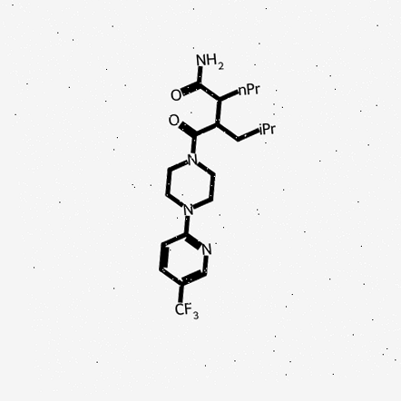 CCCC(C(N)=O)C(CC(C)C)C(=O)N1CCN(c2ccc(C(F)(F)F)cn2)CC1